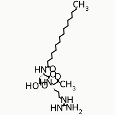 CCCCCCCCCCCCCCCC(=O)N[C@@H](CC(=O)O)C(=O)N[C@@H](CCCNC(=N)N)C(C)=O